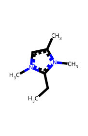 CCc1n(C)c(C)c[n+]1C